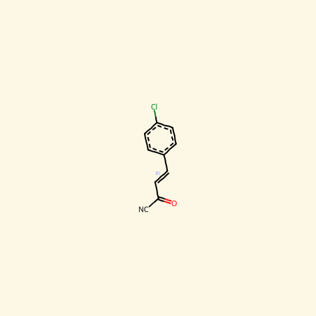 N#CC(=O)/C=C/c1ccc(Cl)cc1